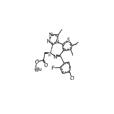 Cc1sc2c(c1C)C(c1ccc(Cl)cc1F)=N[C@@H](CC(=O)OC(C)(C)C)c1nnc(C)n1-2